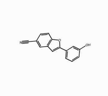 N#Cc1ccc2oc(-c3cccc(O)c3)cc2c1